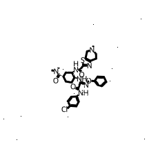 CN1CCc2nc(C(=O)N[C@@H]3C[C@@H](C(=O)N(C)C)CC[C@@H]3N/C(=N\Oc3ccccc3)C(=O)Nc3ccc(Cl)cc3)sc2C1